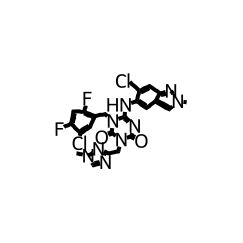 Cn1cnc(Cn2c(=O)nc(Nc3cc4cn(C)nc4cc3Cl)n(Cc3cc(Cl)c(F)cc3F)c2=O)n1